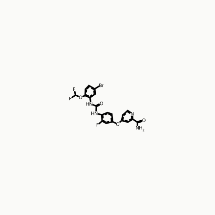 NC(=O)c1cc(Oc2ccc(NC(=O)Nc3cc(Br)ccc3OC(F)F)c(F)c2)ccn1